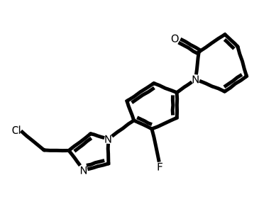 O=c1ccccn1-c1ccc(-n2cnc(CCl)c2)c(F)c1